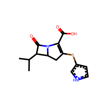 CC(C)C1C(=O)N2C(C(=O)O)=C(Sc3cc[nH]c3)CC12